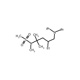 CCC(CN(C(C)C)C(C)C)CC(C)(C)N(C)S(C)(=O)=O